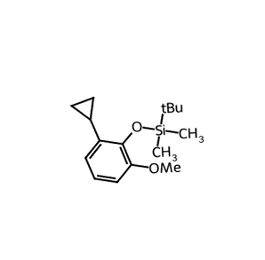 COc1cccc(C2CC2)c1O[Si](C)(C)C(C)(C)C